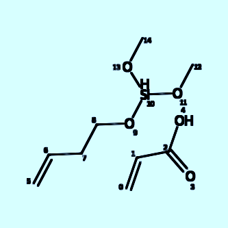 C=CC(=O)O.C=CCCO[SiH](OC)OC